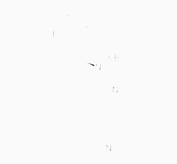 CN(c1ccc(C#N)cn1)[C@H]1C[C@@H]1C(F)(F)F